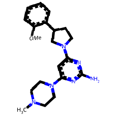 COc1ccccc1C1CCN(c2cc(N3CCN(C)CC3)nc(N)n2)C1